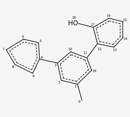 Cc1cc(-c2ccccc2)cc(-c2ccccc2O)c1